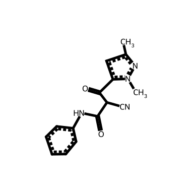 Cc1cc(C(=O)C(C#N)C(=O)Nc2ccccc2)n(C)n1